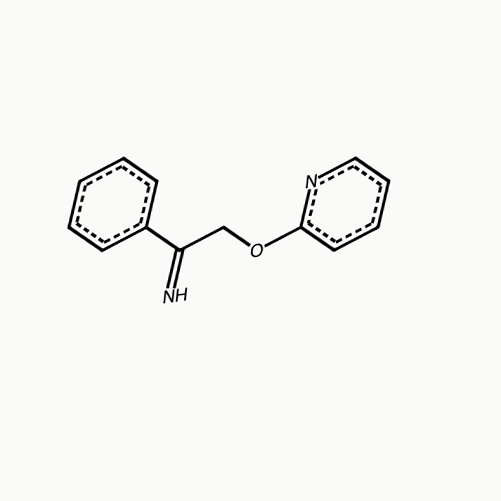 N=C(COc1ccccn1)c1ccccc1